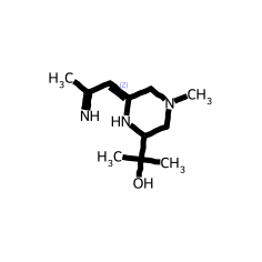 CC(=N)/C=C1/CN(C)CC(C(C)(C)O)N1